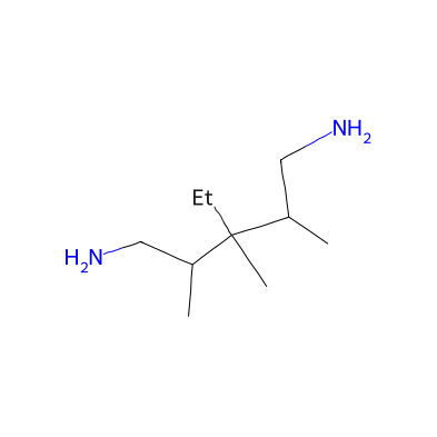 CCC(C)(C(C)CN)C(C)CN